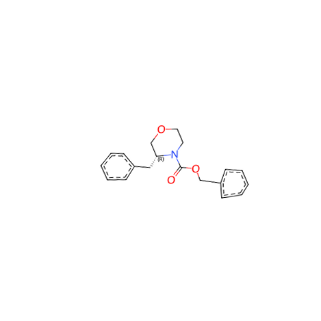 O=C(OCc1ccccc1)N1CCOC[C@H]1Cc1ccccc1